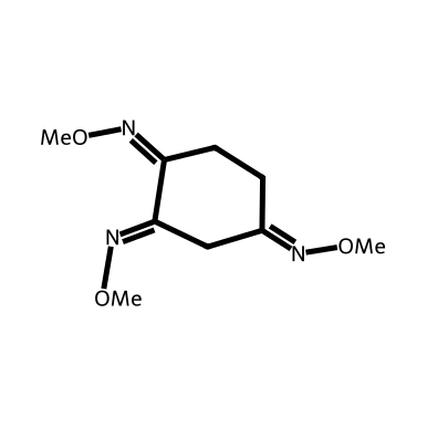 CO/N=C1/CC/C(=N\OC)C/C1=N\OC